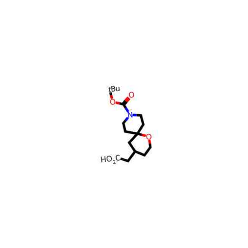 CC(C)(C)OC(=O)N1CCC2(CC1)CC(CC(=O)O)CCO2